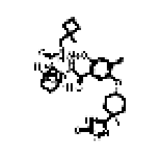 COc1cc(F)c(O[C@H]2CC[C@@](C)(c3noc(=O)[nH]3)CC2)cc1C(=O)N[C@@H]1[C@H]2CC[C@H](C2)[C@@H]1C(=O)NCC1(C)CCC1